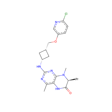 Cc1nc(N[C@H]2C[C@@H](COc3ccc(Cl)nc3)C2)nc2c1NC(=O)[C@H](C(C)C)N2C